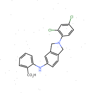 O=C(O)c1ccccc1Nc1ccc2c(c1)CN(c1ccc(Cl)cc1Cl)C2